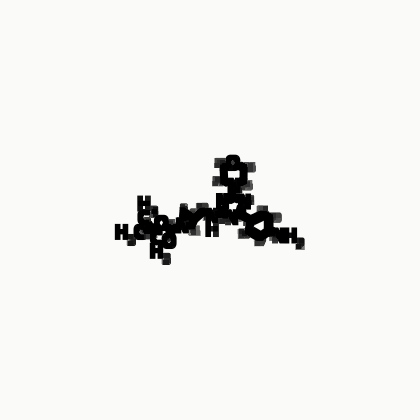 CC(C)(C)OC(=O)N1CC(CNc2nc(-c3ccc(N)cc3)nc(N3CCOCC3)n2)C1